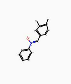 Cc1ccc(C=[N+]([O-])c2ccccc2)cc1C